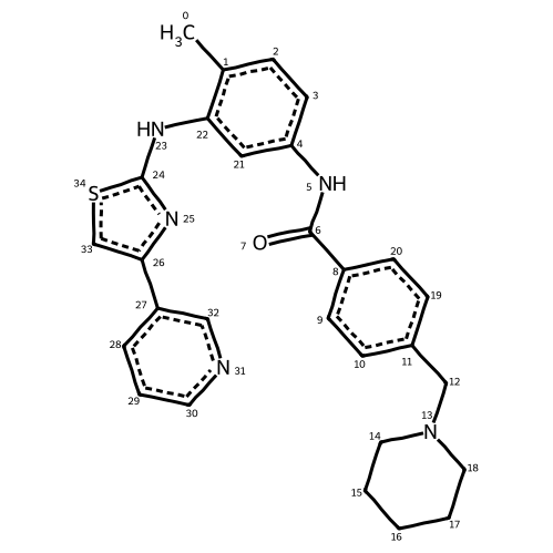 Cc1ccc(NC(=O)c2ccc(CN3CCCCC3)cc2)cc1Nc1nc(-c2cccnc2)cs1